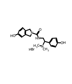 Br.CN(C)C(CNC(=O)N1Cc2ccc(O)cc2C1)c1ccc(O)cc1